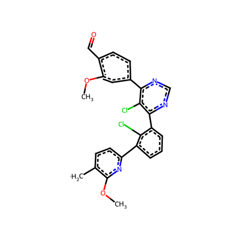 [CH2]c1ccc(-c2cccc(-c3ncnc(-c4ccc(C=O)c(OC)c4)c3Cl)c2Cl)nc1OC